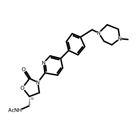 CC(=O)NC[C@H]1CN(c2ccc(-c3ccc(CN4CCN(C)CC4)cc3)cn2)C(=O)O1